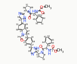 COC(=O)N[C@@H](C(=O)N1CCC[C@H]1c1ncc(-c2ccc3c(c2)OCn2c-3cc3cc(-c4cnc([C@@H]5CCCN5C(=O)[C@H](NC(=O)OC)c5ccccc5)[nH]4)ccc32)[nH]1)c1ccccc1